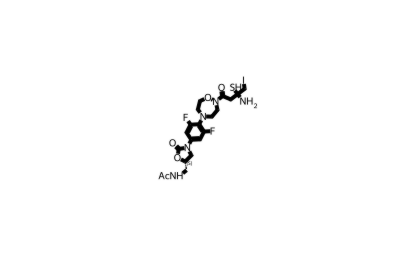 CC(=O)NC[C@H]1CN(c2cc(F)c(N3CCON(C(=O)CC(N)(S)CI)CC3)c(F)c2)C(=O)O1